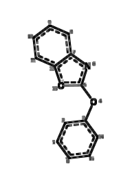 [c]1ccc(Oc2nc3ccccc3o2)cc1